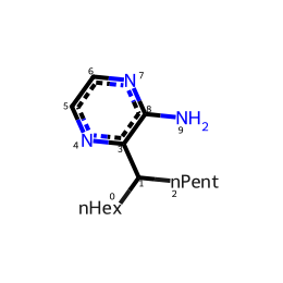 CCCCCCC(CCCCC)c1nccnc1N